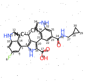 CC(C)c1c(-c2cc(F)cc3[nH]ccc23)[nH]c(C(=O)O)c1-c1cc(C(=O)NCC2CC2)cc2[nH]ccc12